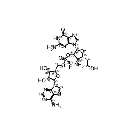 Nc1nc2c(ncn2[C@@H]2O[C@H](CCO)[C@@H](N)[C@H]2OP(=O)(O)OC[C@H]2O[C@@H](n3cnc4c(N)ncnc43)[C@H](O)[C@@H]2O)c(=O)[nH]1